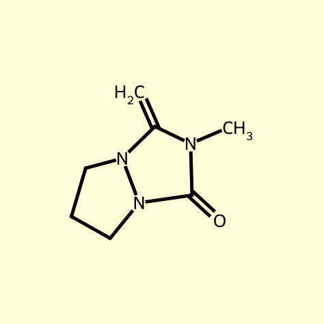 C=C1N(C)C(=O)N2CCCN12